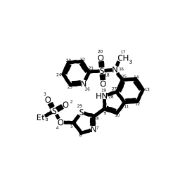 CCS(=O)(=O)OC1CN=C(c2cc3cccc(N(C)S(=O)(=O)c4ccccn4)c3[nH]2)S1